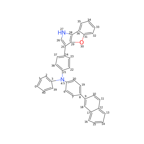 c1ccc(N(c2ccc(-c3ccc4ccccc4c3)cc2)c2ccc(-c3c[nH]c4c3oc3ccccc34)cc2)cc1